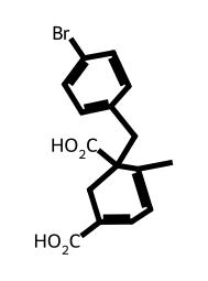 CC1=CC=C(C(=O)O)CC1(Cc1ccc(Br)cc1)C(=O)O